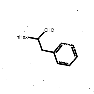 [CH2]CCCCCC(C=O)Cc1ccccc1